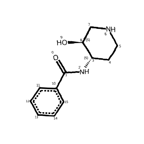 O=C(N[C@H]1CCNC[C@@H]1O)c1ccccc1